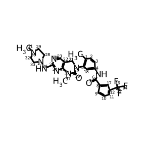 Cc1ccc(NC(=O)c2cccc(C(F)(F)F)c2)cc1N1Cc2cnc(NN3CCN(C)CC3)nc2N(C)C1=O